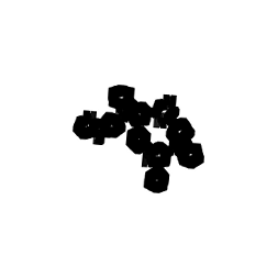 c1ccc(-c2cc(-n3c4ccccc4c4ccc(-c5cncc(-c6ccc7c(c6)c6ccccc6n7-c6ccc7sc8cccnc8c7c6)n5)cc43)cc(-c3ccccc3)n2)cc1